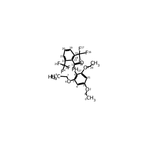 CCOc1cc(OCC)c(PC(=O)c2c(C(F)(F)F)cccc2C(F)(F)F)c(OCC)c1.[LiH]